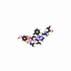 COc1ccc(S(=O)(=O)N(CC(C)C)C[C@@H](O)[C@H](Cc2ccccc2)NC(=O)[C@H](C(C)C)N2CCN(Cc3csc(C(=O)C(C)C)n3)C2=O)cc1